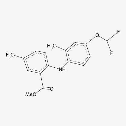 COC(=O)c1cc(C(F)(F)F)ccc1Nc1ccc(OC(F)F)cc1C